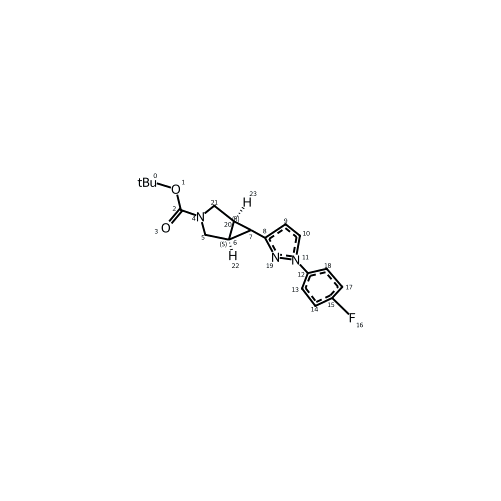 CC(C)(C)OC(=O)N1C[C@@H]2C(c3ccn(-c4ccc(F)cc4)n3)[C@@H]2C1